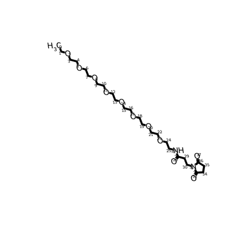 CCOCCOCCOCCOCCOCCOCCOCCOCCNC(=O)CCN1C(=O)CCC1=O